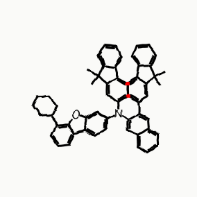 CC1(C)c2ccccc2-c2ccc(-c3cc4ccccc4cc3N(c3ccc4c(c3)C(C)(C)c3ccccc3-4)c3ccc4c(c3)oc3c(C5CCCCC5)cccc34)cc21